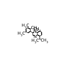 Cc1cc(C)c(C)c(-c2cnc3c(C(C)C)cccc3[n+]2C)c1